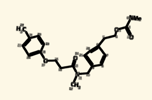 CNC(=O)OCCc1ccc(CN(C)C(=O)CCOc2ccc(C)cc2)cc1